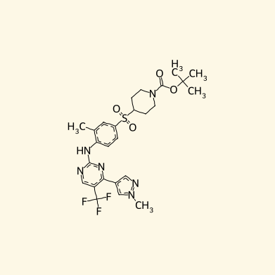 Cc1cc(S(=O)(=O)C2CCN(C(=O)OC(C)(C)C)CC2)ccc1Nc1ncc(C(F)(F)F)c(-c2cnn(C)c2)n1